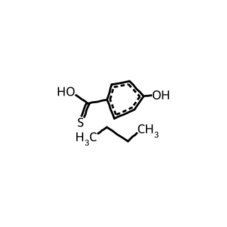 CCCC.OC(=S)c1ccc(O)cc1